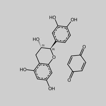 O=C1C=CC(=O)C=C1.Oc1cc(O)c2c(c1)O[C@H](c1ccc(O)c(O)c1)[C@@H](O)C2